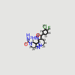 NC(=O)N1C=c2c(nn3c2=C2NOC(c4ccc(F)c(Cl)c4)=C2CCC3)CC1